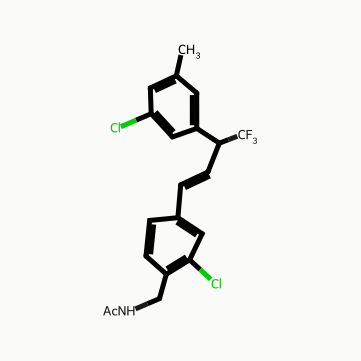 CC(=O)NCc1ccc(/C=C/C(c2cc(C)cc(Cl)c2)C(F)(F)F)cc1Cl